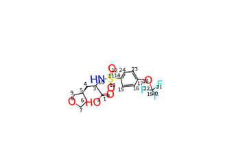 O=C(O)C(C[C@H]1CCOC1)NS(=O)(=O)c1ccc(OC(F)(F)F)cc1